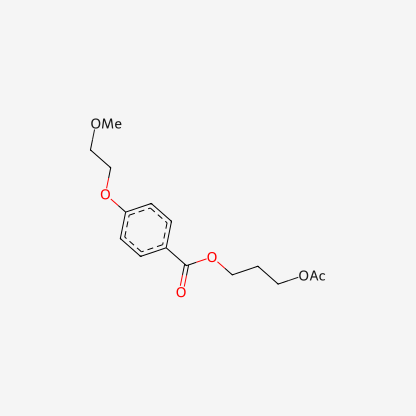 COCCOc1ccc(C(=O)OCCCOC(C)=O)cc1